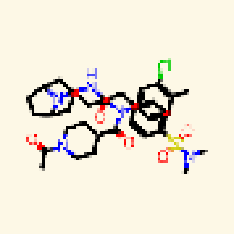 CC(=O)N1CCC(C(=O)N(CCCN2C3CCC2CC(NC(=O)Cc2ccc(S(=O)(=O)N(C)C)cc2)C3)c2ccc(C)c(Cl)c2)CC1